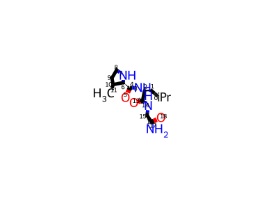 CC(C)C[C@H](NC(=O)[C@H]1NCCC1C)C(=O)NCC(N)=O